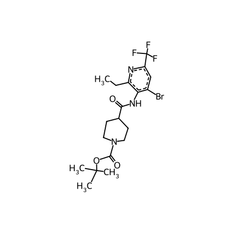 CCc1nc(C(F)(F)F)cc(Br)c1NC(=O)C1CCN(C(=O)OC(C)(C)C)CC1